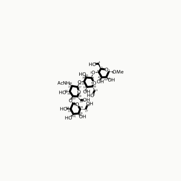 CO[C@H]1O[C@H](CO)[C@@H](O[C@@H]2O[C@H](CO)[C@H](O)[C@H](O[C@@H]3O[C@H](CO)[C@@H](O[C@@H]4O[C@H](CO)[C@H](O)[C@H](O)[C@H]4O)[C@H](O)[C@@H]3NC(C)=O)[C@H]2O)[C@H](O)[C@H]1O